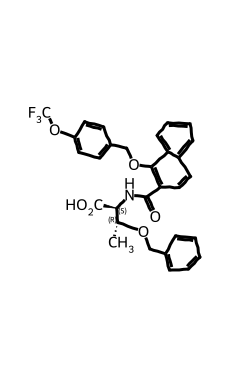 C[C@@H](OCc1ccccc1)[C@H](NC(=O)c1ccc2ccccc2c1OCc1ccc(OC(F)(F)F)cc1)C(=O)O